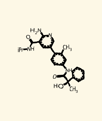 Cc1cc(NC(=O)C(C)(O)c2ccccc2)ccc1-c1cnc(N)c(C(=O)NC(C)C)c1